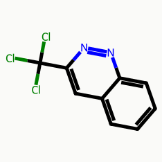 ClC(Cl)(Cl)c1cc2ccccc2nn1